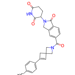 N#Cc1ccc(C2=CC3(C2)CN(C(=O)c2ccc4c(c2)CN(C2CCC(=O)NC2=O)C4=O)C3)cc1